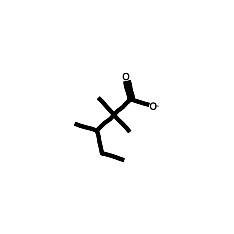 CCC(C)C(C)(C)C([O])=O